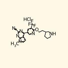 Cl.Cn1ccc2c(-c3cnc(OCCC4CCCNC4)c(C(F)(F)F)c3)nc(C#N)nc21